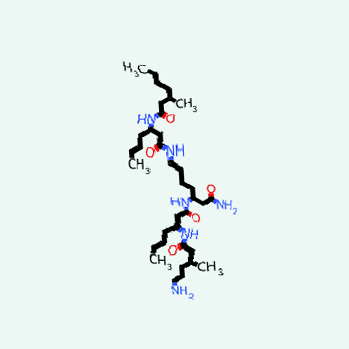 CCCCC(C)CC(=O)NC(CCCC)CC(=O)NCCCCC(CC(N)=O)NC(=O)CC(CCCC)NC(=O)CC(C)CCCN